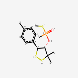 CSP(C)(=O)O[C@H]1[C@H](c2ccc(C)cc2)SSC1(C)C